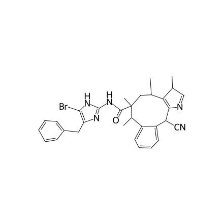 CC1C=NC2=C1C(C)CC(C)(C(=O)Nc1nc(Cc3ccccc3)c(Br)[nH]1)C(C)c1ccccc1C2C#N